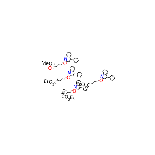 CCOC(=O)C(C)(CC)CCCCOc1cc(-c2ccccc2)c2ccccc2n1.CCOC(=O)C(C)CCCCOc1cc(-c2ccccc2)c2ccccc2n1.CCOC(=O)CCCCCOc1cc(-c2ccccc2)c2ccccc2n1.COC(=O)C(C)(C)CCCCOc1cc(-c2ccccc2)c2ccccc2n1